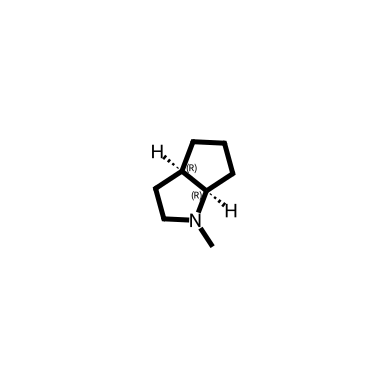 CN1CC[C@H]2CCC[C@H]21